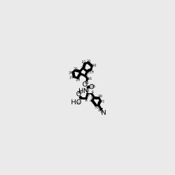 N#Cc1ccc(C[C@@H](CC(=O)O)NC(=O)OCC2c3ccccc3-c3ccccc32)cc1